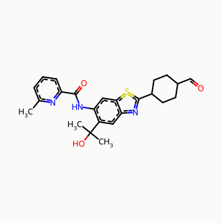 Cc1cccc(C(=O)Nc2cc3sc(C4CCC(C=O)CC4)nc3cc2C(C)(C)O)n1